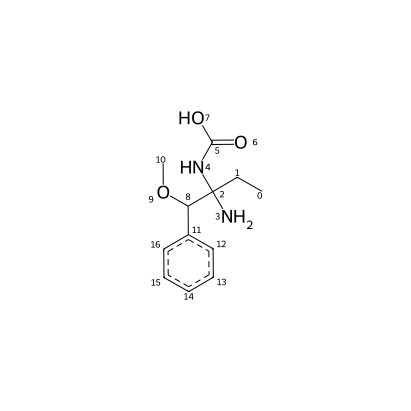 CCC(N)(NC(=O)O)C(OC)c1ccccc1